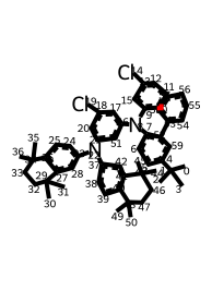 CC(C)(C)c1ccc(N(c2cccc(Cl)c2)c2cc(Cl)cc(N(c3ccc4c(c3)C(C)(C)CCC4(C)C)c3ccc4c(c3)C(C)(C)CCC4(C)C)c2)c(-c2ccccc2)c1